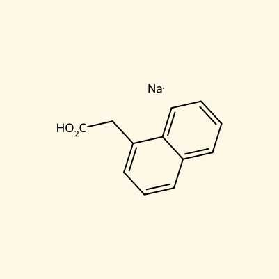 O=C(O)Cc1cccc2ccccc12.[Na]